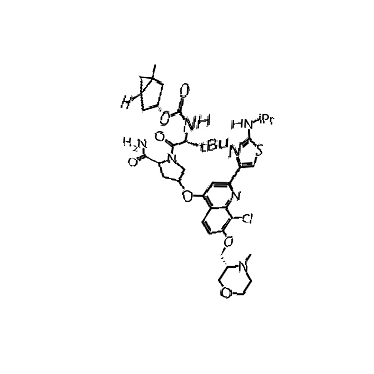 CC(C)Nc1nc(-c2cc(OC3C[C@@H](C(N)=O)N(C(=O)[C@@H](NC(=O)O[C@@H]4C[C@@H]5CC5(C)C4)C(C)(C)C)C3)c3ccc(OC[C@H]4COCCN4C)c(Cl)c3n2)cs1